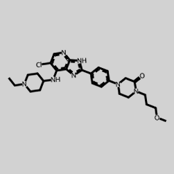 CCN1CCC(Nc2c(Cl)cnc3[nH]c(-c4ccc(N5CCN(CCCOC)C(=O)C5)cc4)nc23)CC1